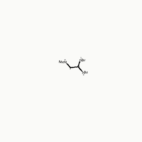 CCCCC(CCCC)CNC